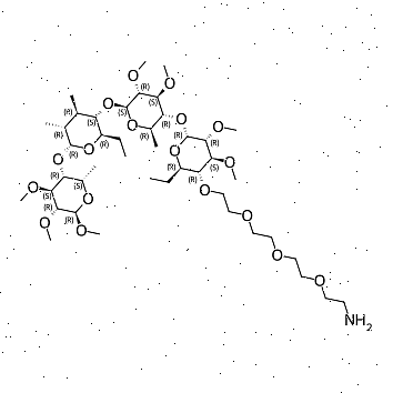 CC[C@H]1O[C@H](O[C@H]2[C@H](OC)[C@@H](OC)[C@H](OC)O[C@H]2C)[C@H](C)[C@@H](C)[C@@H]1O[C@@H]1O[C@H](C)[C@@H](O[C@H]2O[C@H](CC)[C@@H](OCCOCCOCCOCCN)[C@H](OC)[C@H]2OC)[C@H](OC)[C@H]1OC